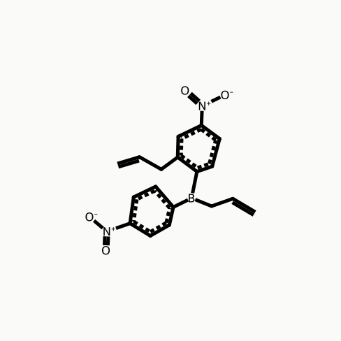 C=CCB(c1ccc([N+](=O)[O-])cc1)c1ccc([N+](=O)[O-])cc1CC=C